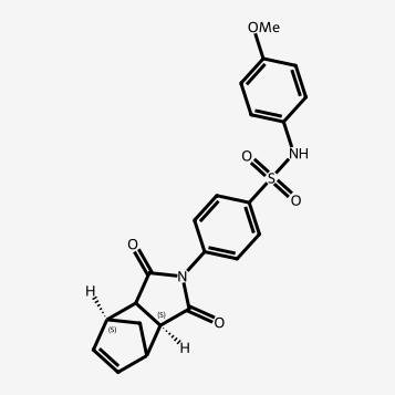 COc1ccc(NS(=O)(=O)c2ccc(N3C(=O)C4[C@@H](C3=O)C3C=C[C@@H]4C3)cc2)cc1